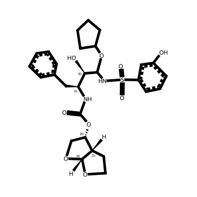 O=C(N[C@@H](Cc1ccccc1)[C@@H](O)C(NS(=O)(=O)c1cccc(O)c1)OC1CCCC1)O[C@H]1CO[C@H]2OCC[C@H]21